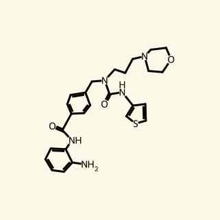 Nc1ccccc1NC(=O)c1ccc(CN(CCCN2CCOCC2)C(=O)Nc2ccsc2)cc1